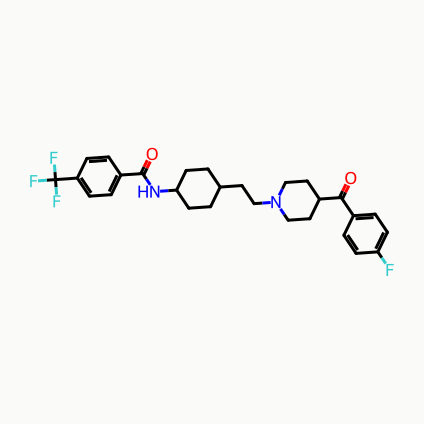 O=C(NC1CCC(CCN2CCC(C(=O)c3ccc(F)cc3)CC2)CC1)c1ccc(C(F)(F)F)cc1